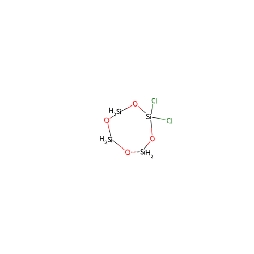 Cl[Si]1(Cl)O[SiH2]O[SiH2]O[SiH2]O1